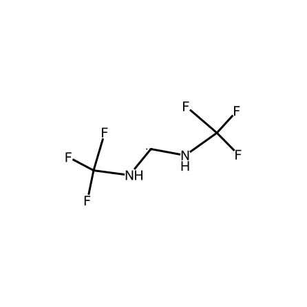 FC(F)(F)N[CH]NC(F)(F)F